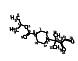 CC(C)OC(=O)N1CCN(C(C)(C)C(=O)C=O)CC1